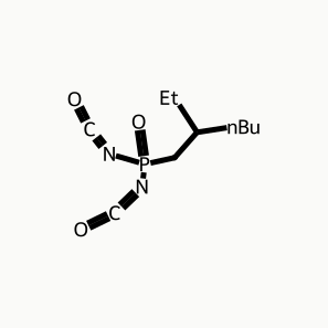 CCCCC(CC)CP(=O)(N=C=O)N=C=O